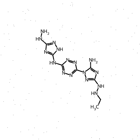 CCNNc1nc(N)n(-c2nnc(Nc3nc(NN)n[nH]3)nn2)n1